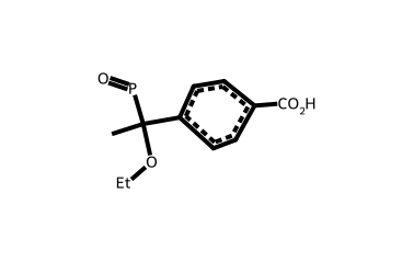 CCOC(C)(P=O)c1ccc(C(=O)O)cc1